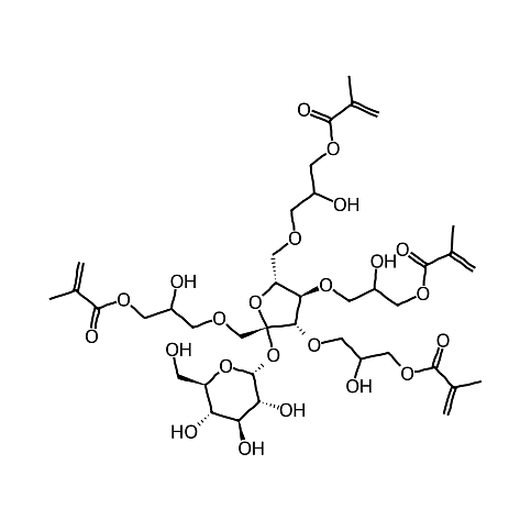 C=C(C)C(=O)OCC(O)COC[C@H]1O[C@@](COCC(O)COC(=O)C(=C)C)(O[C@H]2O[C@H](CO)[C@@H](O)[C@H](O)[C@H]2O)[C@@H](OCC(O)COC(=O)C(=C)C)[C@@H]1OCC(O)COC(=O)C(=C)C